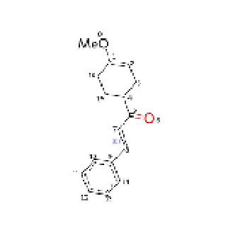 COC1=CCC(C(=O)/C=C/c2ccccc2)CC1